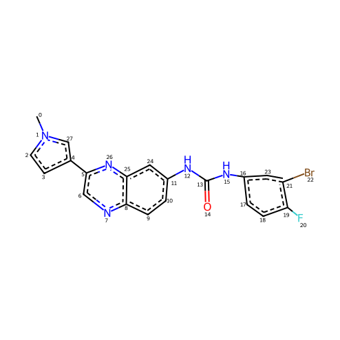 Cn1ccc(-c2cnc3ccc(NC(=O)Nc4ccc(F)c(Br)c4)cc3n2)c1